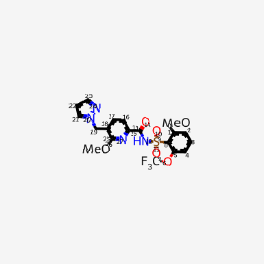 COc1cccc(OC(F)(F)F)c1S(=O)(=O)NC(=O)c1ccc(Cn2cccn2)c(OC)n1